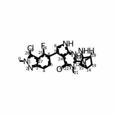 Cn1nc2ccc(-c3c[nH]c4nc(N5C6=C[C@@H](N)[C@H]5C6)n(C)c(=O)c34)c(F)c2c1Cl